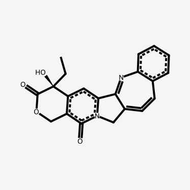 CC[C@@]1(O)C(=O)OCc2c1cc1n(c2=O)CC2=C=Cc3ccccc3N=C21